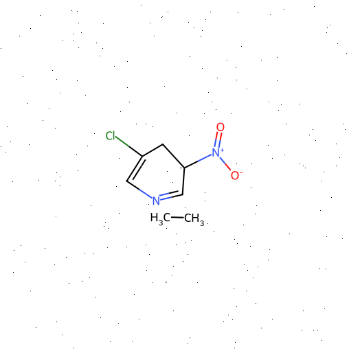 CC.O=[N+]([O-])[C]1C=NC=C(Cl)C1